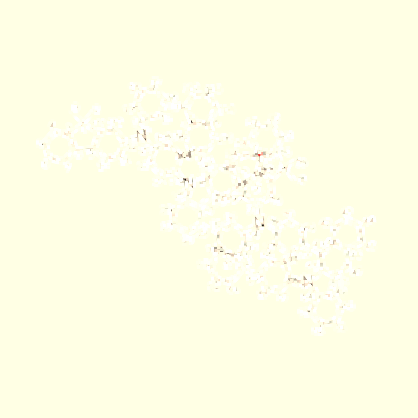 CC1(C)c2ccccc2-c2ccc(N(c3ccccc3)c3ccc(-n4c5cccc(-c6cccc(N(c7ccc(-c8c9ccccc9cc9c%10ccccc%10n(-c%10ccc(-c%11ccccc%11)cc%10)c89)cc7)c7ccc8c(c7)C(C)(C)c7ccccc7-8)c6)c5c5cc6ccccc6c(-c6ccc7ccccc7c6)c54)cc3)cc21